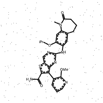 COc1ncccc1-c1c(C(N)=O)sc2cnc(Nc3cc4c(cc3OC(C)C)N(C)C(=O)CCC4)nc12